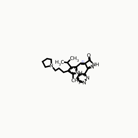 Cc1[nH]c(/C=C2/C(=O)NN=C2c2cccnn2)c(C(C)C)c1CCCN1CCCC1